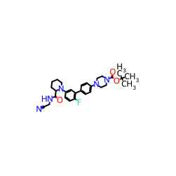 CC(C)(C)OC(=O)N1CCN(c2ccc(-c3cc(N4CCCCC4C(=O)NCC#N)ccc3F)cc2)CC1